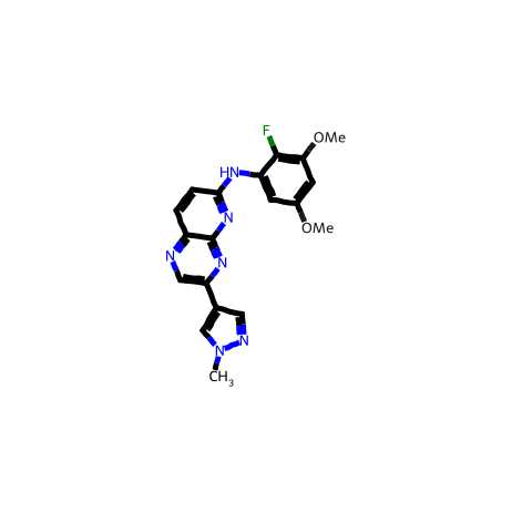 COc1cc(Nc2ccc3ncc(-c4cnn(C)c4)nc3n2)c(F)c(OC)c1